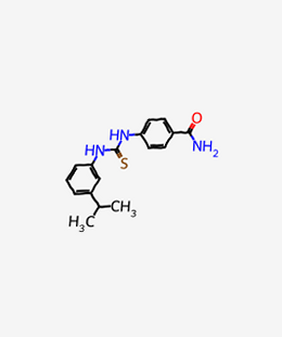 CC(C)c1cccc(NC(=S)Nc2ccc(C(N)=O)cc2)c1